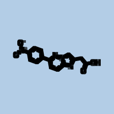 O=C(O)Cc1cn2nc(-c3ccc([N+](=O)[O-])cc3)ccc2n1